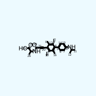 Cc1c(F)c(-c2ccc(NC(C)C)cc2)c(C)c(F)c1C#CC(=O)NC(C)C(=O)O